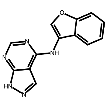 c1ccc2c(Nc3ncnc4[nH]ncc34)coc2c1